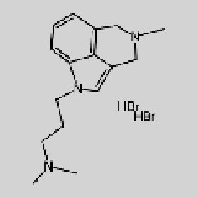 Br.Br.CN(C)CCCn1cc2c3c(cccc31)CN(C)C2